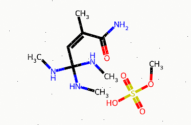 CNC(C=C(C)C(N)=O)(NC)NC.COS(=O)(=O)O